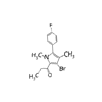 CCC(=O)c1c(Br)c(C)c(-c2ccc(F)cc2)n1C